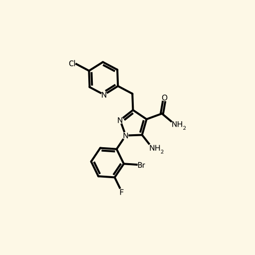 NC(=O)c1c(Cc2ccc(Cl)cn2)nn(-c2cccc(F)c2Br)c1N